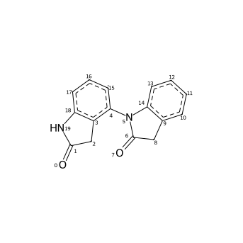 O=C1Cc2c(N3C(=O)Cc4ccccc43)[c]ccc2N1